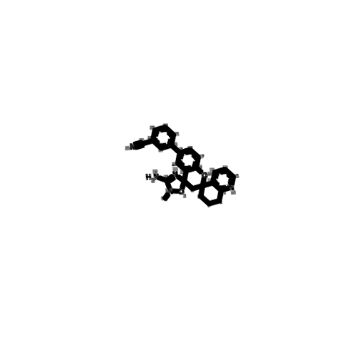 CN1OC2(CC3(CCCc4ncccc43)Oc3ccc(-c4cccc(C#N)c4)cc32)N=C1N